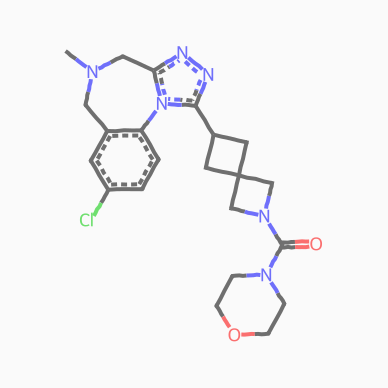 CN1Cc2cc(Cl)ccc2-n2c(nnc2C2CC3(C2)CN(C(=O)N2CCOCC2)C3)C1